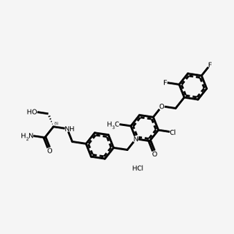 Cc1cc(OCc2ccc(F)cc2F)c(Cl)c(=O)n1Cc1ccc(CN[C@@H](CO)C(N)=O)cc1.Cl